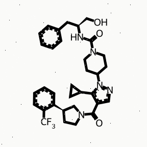 O=C(N[C@H](CO)Cc1ccccc1)N1CCC(n2ncc(C(=O)N3CC[C@@H](c4ccccc4C(F)(F)F)C3)c2C2CC2)CC1